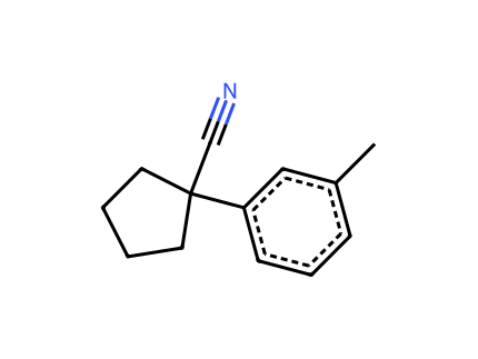 Cc1cccc(C2(C#N)CCCC2)c1